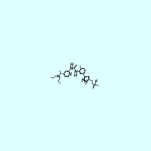 C=C(Nc1cc(C(C)N(CCC)CCC)ccn1)Nc1cc(-c2cc(CCC(C)(F)F)n(C)n2)ccc1C